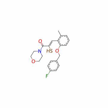 Cc1cccc(OCc2ccc(F)cc2)c1/C=C(\S)C(=O)N1CCOCC1